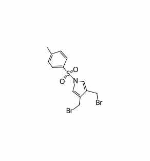 Cc1ccc(S(=O)(=O)n2cc(CBr)c(CBr)c2)cc1